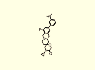 CN(C)c1cccc(-c2cc(F)c(CN3CCC4(CC3)CN(C3CC3)C(=O)CO4)c(F)c2)c1